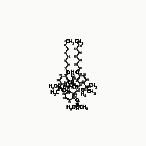 CCCCCCCCOc1ccc(C(C)(C)C)cc1C(O)(c1cc(C(C)(C)C)ccc1OCCCCCCCC)C(C)N=Cc1c(O[SiH](C)C)cccc1C(C)(C)C